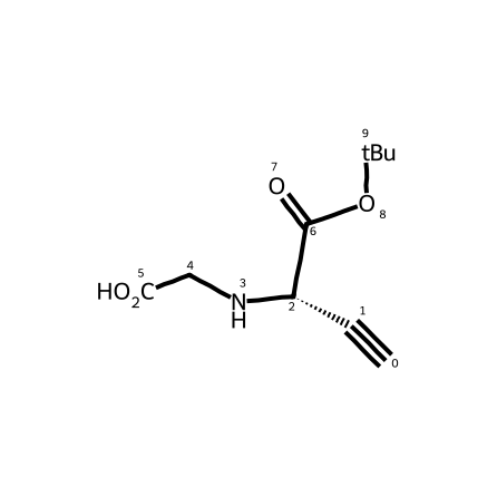 C#C[C@H](NCC(=O)O)C(=O)OC(C)(C)C